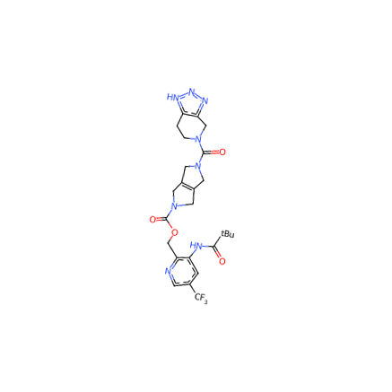 CC(C)(C)C(=O)Nc1cc(C(F)(F)F)cnc1COC(=O)N1CC2=C(C1)CN(C(=O)N1CCc3[nH]nnc3C1)C2